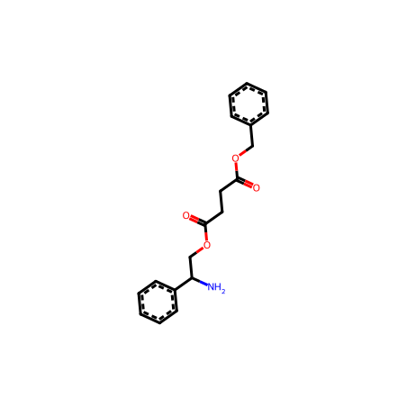 NC(COC(=O)CCC(=O)OCc1ccccc1)c1ccccc1